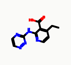 CCc1ccnc(Nc2nccnn2)c1C(=O)O